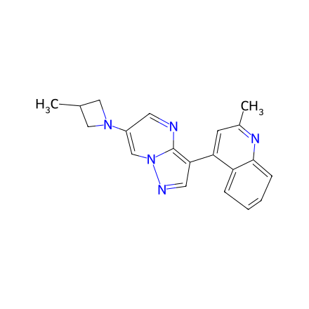 Cc1cc(-c2cnn3cc(N4CC(C)C4)cnc23)c2ccccc2n1